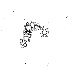 O=S(=O)(c1ccc2c(c1)OCCO2)N1CCOc2ccc(COCc3ccccc3)cc2C1